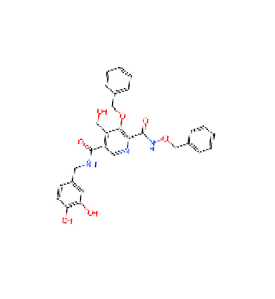 O=C(NCc1ccc(O)c(O)c1)c1cnc(C(=O)NOCc2ccccc2)c(OCc2ccccc2)c1CO